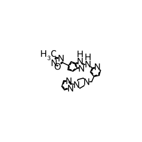 Cc1noc(-c2ccc3nc(Nc4cc(CN5CCN(c6ncccn6)CC5)ccn4)[nH]c3c2)n1